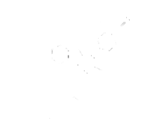 CCOC(=O)CCN1C(=O)N(c2ccc(C#N)c(C(F)(F)F)c2)C(=O)C1(C)c1ccc(O)cc1